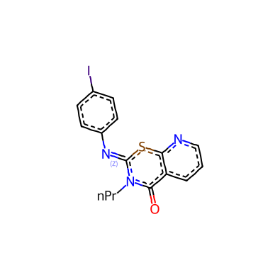 CCCn1c(=O)c2cccnc2s/c1=N\c1ccc(I)cc1